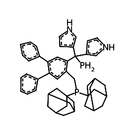 PC(c1cc[nH]c1)(c1cc[nH]c1)c1cc(-c2ccccc2)c(-c2ccccc2)cc1CP(C12CC3CC(CC(C3)C1)C2)C12CC3CC(CC(C3)C1)C2